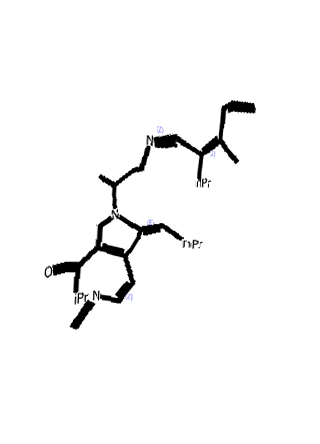 C=C/C(C)=C(\C=N/CC(C)N1CC(C(=O)C(C)C)=C(/C=C\N=C)/C1=C\CCC)CCC